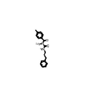 Cc1ccc(C(=O)N(S)C(=O)NCCCc2ccccc2)cc1